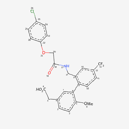 COc1ccc(CC(=O)O)cc1-c1ccc(C(F)(F)F)cc1CNC(=O)COc1ccc(Cl)cc1